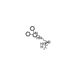 C=CP(=O)(O)CCCNCc1ccc(-c2ccccc2)c(-c2ccccc2)n1